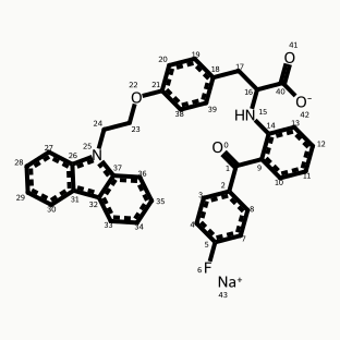 O=C(c1ccc(F)cc1)c1ccccc1NC(Cc1ccc(OCCn2c3ccccc3c3ccccc32)cc1)C(=O)[O-].[Na+]